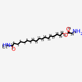 CCNC(=O)CCCCCCCCCCCCCCCCCOC(=O)CN